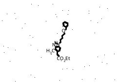 CCOC(=O)/C=C/c1ccc2c(nnn2CCCCCOCc2ccccc2)c1C